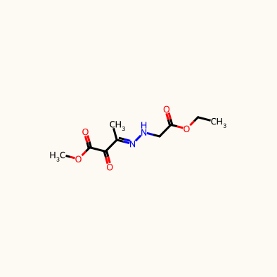 CCOC(=O)CN/N=C(\C)C(=O)C(=O)OC